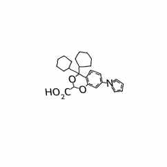 O=C(O)C1Oc2cc(-n3cccc3)ccc2C(C2CCCCC2)(C2CCCCC2)O1